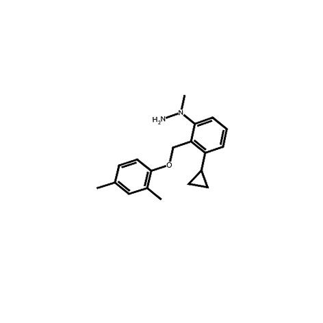 Cc1ccc(OCc2c(C3CC3)cccc2N(C)N)c(C)c1